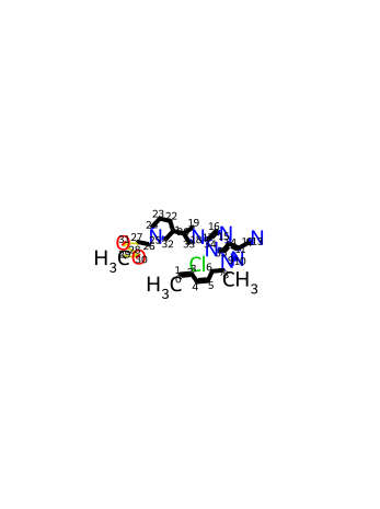 C/C=C(Cl)\C=C/CC(C)n1nc(C#N)c2ncc(N3CC(C4CCCN(CCS(C)(=O)=O)C4)C3)nc21